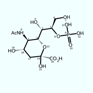 CC(=O)N[C@H]1[C@H]([C@H](O)[C@@H](CO)OP(=O)(O)O)O[C@](O)(C(=O)O)C[C@@H]1O